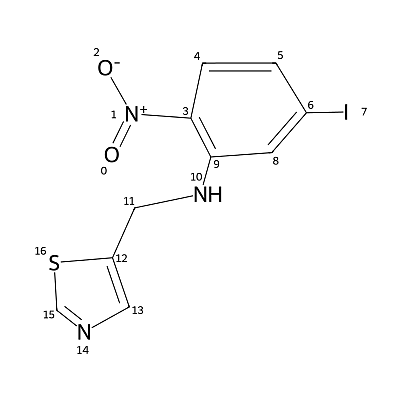 O=[N+]([O-])c1ccc(I)cc1NCc1cncs1